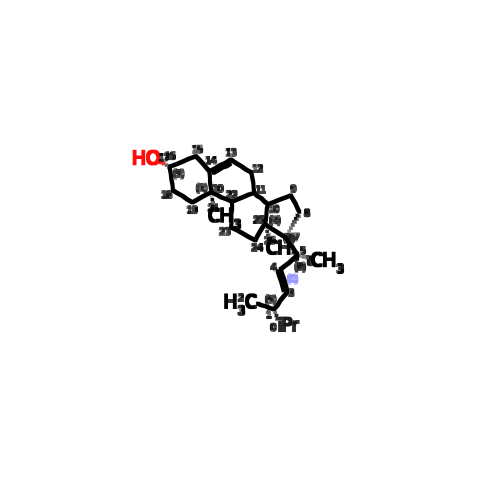 CC(C)[C@H](C)/C=C/[C@@H](C)[C@H]1CCC2C3CC=C4C[C@@H](O)CC[C@]4(C)C3CC[C@@]21C